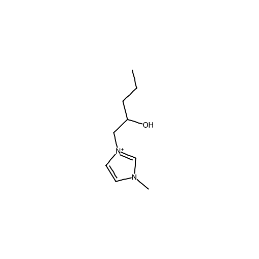 CCCC(O)C[n+]1ccn(C)c1